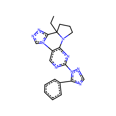 CCC12CCCN1c1nc(-n3ncnc3-c3ccccc3)ncc1-n1cnnc12